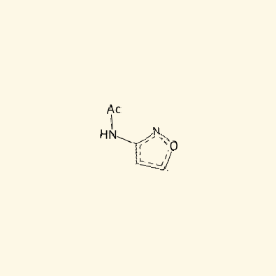 CC(=O)Nc1c[c]on1